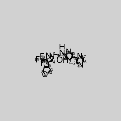 OC(Cn1cc(C2=CCOCC2)c(C(F)(F)F)n1)Nc1ccc(-c2cnccn2)cn1